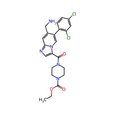 CCOC(=O)N1CCN(C(=O)c2cnc3cc(CN)c(-c4ccc(Cl)cc4Cl)cn23)CC1